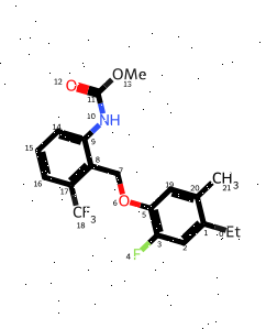 CCc1cc(F)c(OCc2c(NC(=O)OC)cccc2C(F)(F)F)cc1C